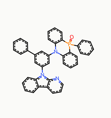 O=P1(c2ccccc2)c2ccccc2N(c2cc(-c3ccccc3)cc(-n3c4ccccc4c4cccnc43)c2)c2ccccc21